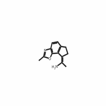 CC(N)=C1CCc2ccc3nc(C)oc3c21